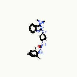 Cc1cccc(C(C)C)c1NC(=O)NC1CCC(Nc2nc(N(C)C)c3ccccc3n2)CC1